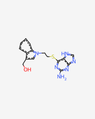 Nc1nc(SCCn2cc(CO)c3ccccc32)c2[nH]cnc2n1